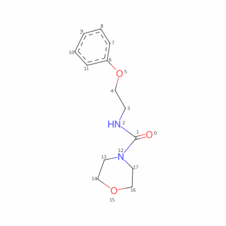 O=C(NCCOc1cc[c]cc1)N1CCOCC1